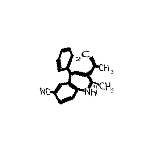 C=C(C)C1=C(c2ccccc2)c2cc(C#N)ccc2N[C@@H]1C